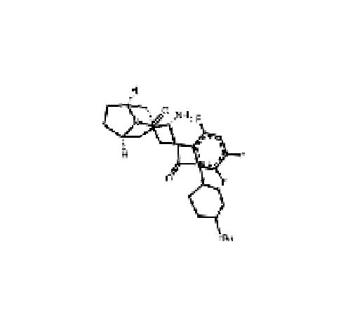 CC(C)(C)C1CCC(NC(=O)CCC(=O)N2[C@@H]3CC[C@H]2C[C@H]([C@H](N)Cc2cc(F)c(F)cc2F)C3)CC1